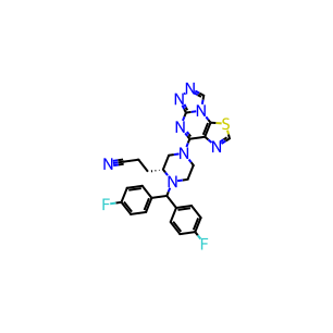 N#CCC[C@@H]1CN(c2nc3nncn3c3scnc23)CCN1C(c1ccc(F)cc1)c1ccc(F)cc1